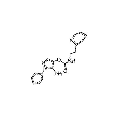 CCCc1c(OC(=O)NCCc2ccccn2)cnn1-c1ccccc1